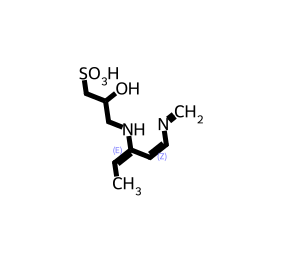 C=N/C=C\C(=C/C)NCC(O)CS(=O)(=O)O